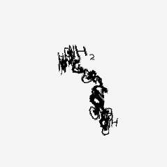 Cn1cc(Nc2nc(N3CCCC(N4CCC5(CCN(CC6CCN(c7ccc8c(c7)C(=O)N(C7CCC(=O)NC7=O)C8=O)CC6)CC5)C4=O)C3)cnc2C(N)=O)cn1